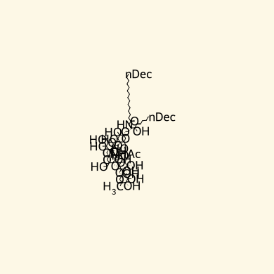 CCCCCCCCCCCCC/C=C/[C@@H](O)[C@H](CO[C@@H]1OC(CO)[C@@H](O[C@@H]2OC(CO)[C@H](O)[C@H](O[C@@H]3OC(CO)[C@@H](O[C@@H]4OC(CO)[C@H](O)[C@H](O)C4O[C@H]4OC(C)[C@@H](O)C(O)[C@@H]4O)[C@H](O)C3NC(C)=O)C2O)[C@H](O)C1O)NC(=O)CCCCCCCCCCCCCCCCCCCCCCC